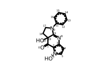 O=C1c2c(ccn2O)N=C2N(c3ccccc3)CCC12O